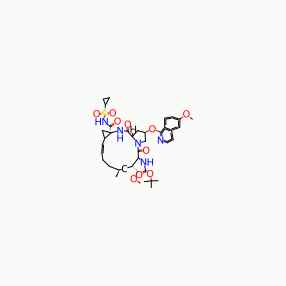 COC[C@@H]1C[C@@H](C)CC/C=C\C2C[C@@]2(C(=O)NS(=O)(=O)C2CC2)NC(=O)[C@@H]2C[C@@H](Oc3nccc4cc(OC)ccc34)CN2C(=O)[C@H]1NC(=O)OC(C)(C)C